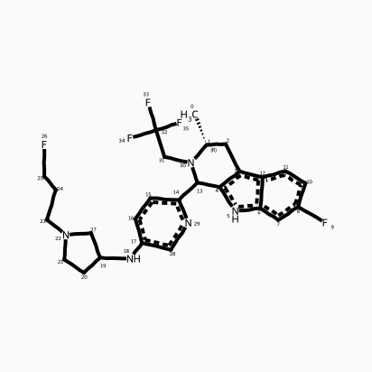 C[C@@H]1Cc2c([nH]c3cc(F)ccc23)C(c2ccc(NC3CCN(CCCF)C3)cn2)N1CC(F)(F)F